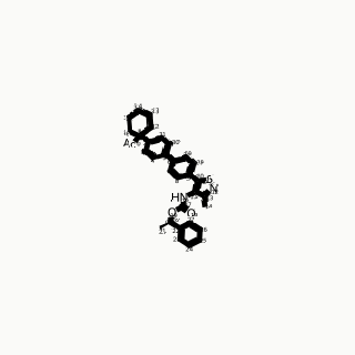 CC(=O)C1(c2ccc(-c3ccc(-c4snc(C)c4NC(=O)O[C@H](C)c4ccccc4)cc3)cc2)CCCCC1